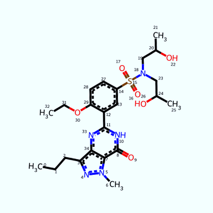 CCCc1nn(C)c2c(=O)[nH]c(-c3cc(S(=O)(=O)N(CC(C)O)CC(C)O)ccc3OCC)nc12